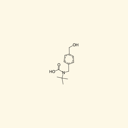 CC(C)(C)N(Cc1ccc(CO)cc1)C(=O)O